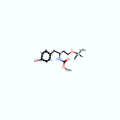 CC(C)(C)OC(=O)N[C@H](CCO[Si](C)(C)C(C)(C)C)Cc1ccc(Br)cc1